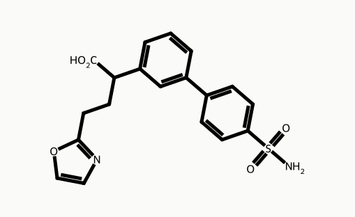 NS(=O)(=O)c1ccc(-c2cccc(C(CCc3ncco3)C(=O)O)c2)cc1